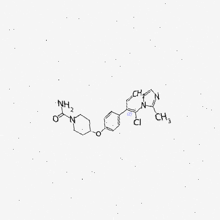 C=C/C(=C(/Cl)n1ccnc1C)c1ccc(OC2CCN(C(N)=O)CC2)cc1